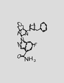 NC(=O)c1cc(F)cc2c1cnn2-c1nc2c(c(NCc3ccccc3)n1)COC2